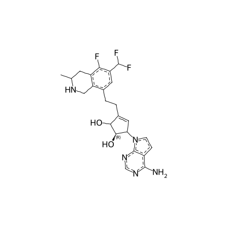 CC1Cc2c(F)c(C(F)F)cc(CCC3=CC(n4ccc5c(N)ncnc54)[C@@H](O)C3O)c2CN1